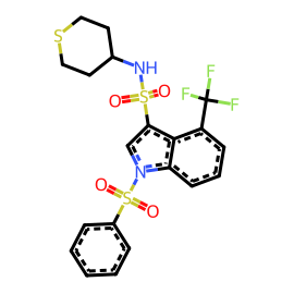 O=S(=O)(NC1CCSCC1)c1cn(S(=O)(=O)c2ccccc2)c2cccc(C(F)(F)F)c12